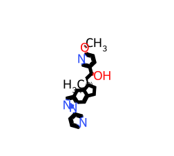 COc1ccc(C(O)C[C@H]2CCC3=Cc4c(cnn4-c4cccnc4)C[C@@]32C)cn1